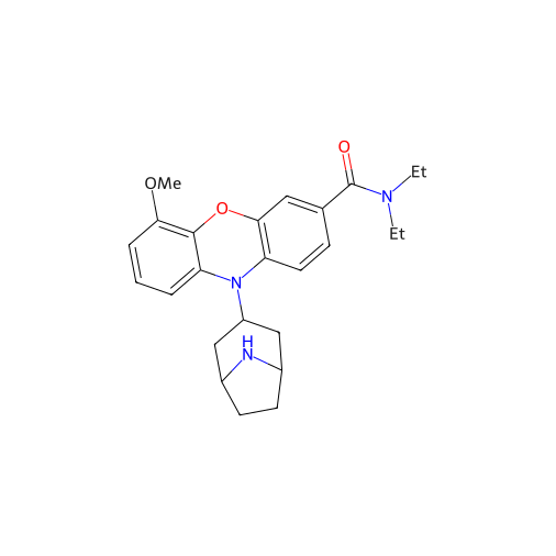 CCN(CC)C(=O)c1ccc2c(c1)Oc1c(OC)cccc1N2C1CC2CCC(C1)N2